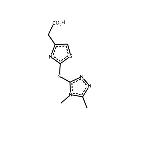 Cc1nnc(Sc2nc(CC(=O)O)cs2)n1C